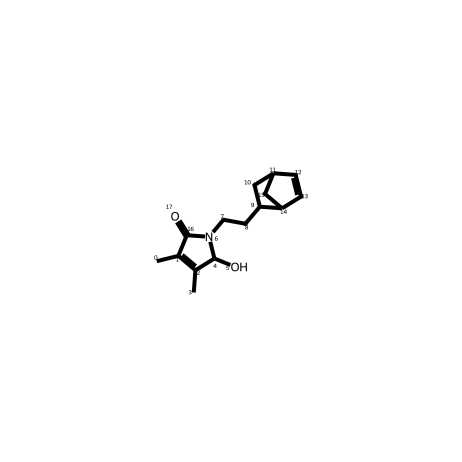 CC1=C(C)C(O)N(CCC2CC3C=CC2C3)C1=O